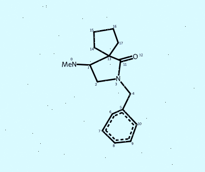 CNC1CN(Cc2ccccc2)C(=O)C12CCCC2